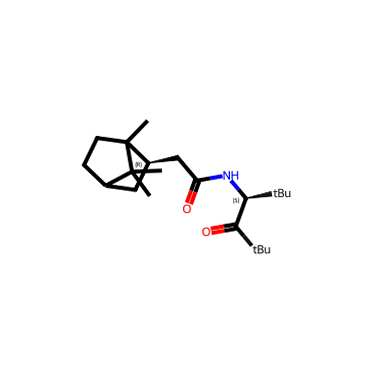 CC(C)(C)C(=O)[C@@H](NC(=O)C[C@H]1CC2CCC1(C)C2(C)C)C(C)(C)C